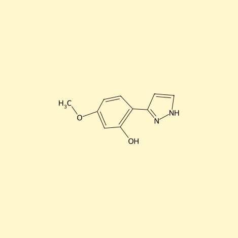 COc1ccc(-c2cc[nH]n2)c(O)c1